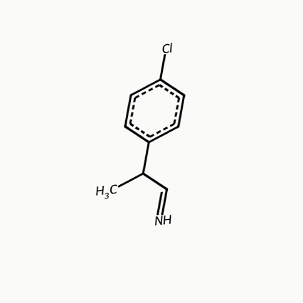 CC(C=N)c1ccc(Cl)cc1